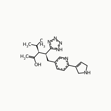 C=C(O)[C@@H](C(C)C)[C@H](Cc1ccc(C2=CCNC2)nc1)c1nnn[nH]1